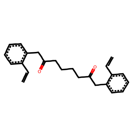 C=Cc1ccccc1CC(=O)CCCCC(=O)Cc1ccccc1C=C